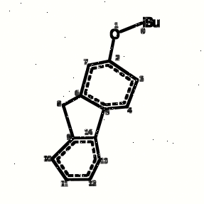 CCC(C)Oc1ccc2c(c1)Cc1ccccc1-2